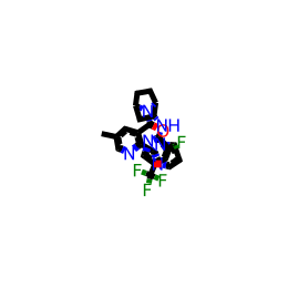 Cc1cnc(-c2ncccn2)c(C(=O)N2C3CCC2C(Nc2ncc(C(F)(F)F)cc2F)C3)c1